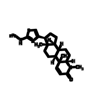 CCCNc1nc([C@H]2CC[C@H]3[C@@H]4CC[C@H]5N(C)C(=O)C=C[C@]5(C)[C@H]4CC[C@]23C)cs1